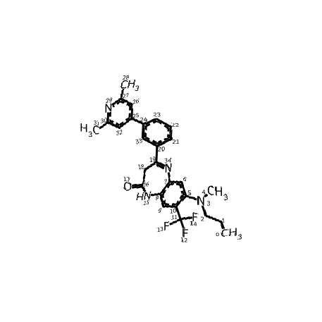 CCCN(C)c1cc2c(cc1C(F)(F)F)NC(=O)CC(c1cccc(-c3cc(C)nc(C)c3)c1)=N2